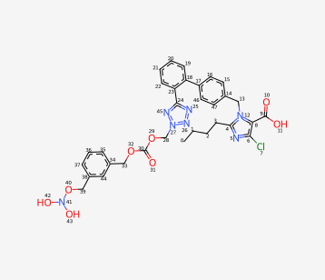 CCCCc1nc(Cl)c(C(=O)O)n1Cc1ccc(-c2ccccc2-c2nnn(COC(=O)OCc3cccc(CON(O)O)c3)n2)cc1